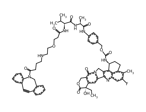 CC[C@@]1(O)C(=O)OCc2c1cc1n(c2=O)Cc2c-1nc1cc(F)c(C)c3c1c2[C@@H](NC(=O)OCc1ccc(NC(=O)[C@H](C)NC(=O)[C@@H](NC(=O)CCOCCNCCCC(=O)N2Cc4ccccc4C#Cc4ccccc42)C(C)C)cc1)CC3